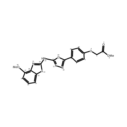 COC(=O)COc1ccc(-c2nnc(Nc3nc4c(OC)cccc4s3)o2)cc1